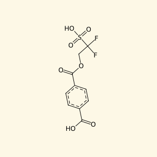 O=C(O)c1ccc(C(=O)OCC(F)(F)S(=O)(=O)O)cc1